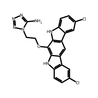 Nc1nnnn1CCOc1c2[nH]c3ccc(Cl)cc3c2cc2c1[nH]c1ccc(Cl)cc12